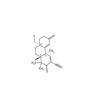 [C-]#[N+]C1=C[C@]2(C)C3=CC(=O)CC[C@]3(CF)CC[C@H]2C(C)(C)C1=O